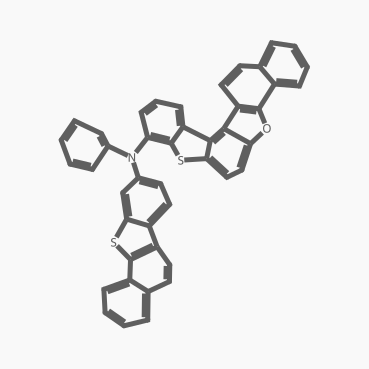 c1ccc(N(c2ccc3c(c2)sc2c4ccccc4ccc32)c2cccc3c2sc2ccc4oc5c6ccccc6ccc5c4c23)cc1